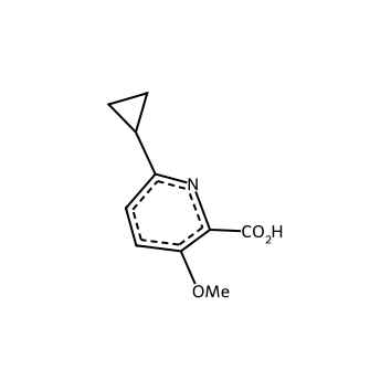 COc1ccc(C2CC2)nc1C(=O)O